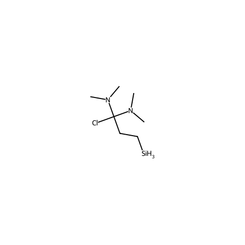 CN(C)C(Cl)(CC[SiH3])N(C)C